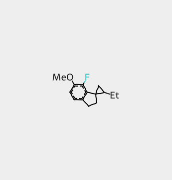 CCC1CC12CCc1ccc(OC)c(F)c12